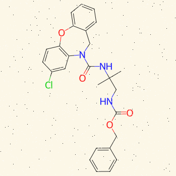 CC(C)(CNC(=O)OCc1ccccc1)NC(=O)N1Cc2ccccc2Oc2ccc(Cl)cc21